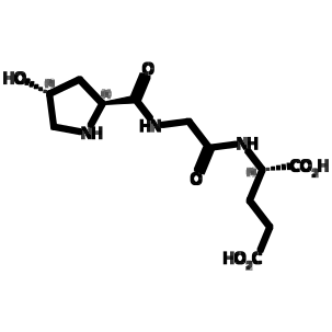 O=C(O)CC[C@H](NC(=O)CNC(=O)[C@@H]1C[C@@H](O)CN1)C(=O)O